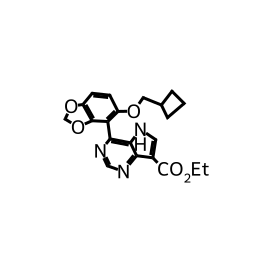 CCOC(=O)c1c[nH]c2c(-c3c(OCC4CCC4)ccc4c3OCO4)ncnc12